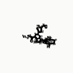 NC(=O)c1cc(-c2csc(C=O)c2)cc2c([C@@H]3C[C@H]4CC[C@@H](C3)S4(O)O)c[nH]c12